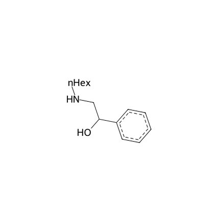 [CH2]CCCCCNCC(O)c1ccccc1